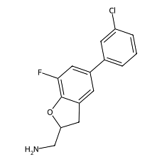 NCC1Cc2cc(-c3cccc(Cl)c3)cc(F)c2O1